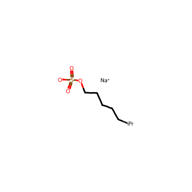 CC(C)CCCCCOS(=O)(=O)[O-].[Na+]